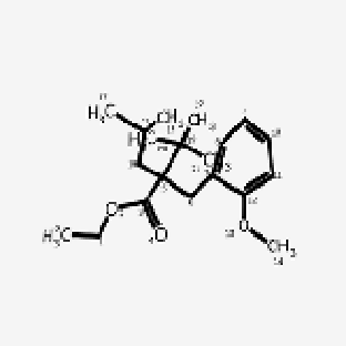 CCOC(=O)C(Cc1ccccc1OC)(CC(C)C)C(C)(C)C